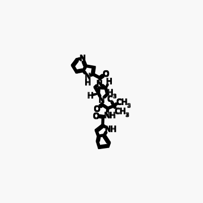 CC(C)(C)C(NC(=O)c1cc2ccccc2[nH]1)C(=O)N1C[C@@H]2C[C@H]1CN2C(=O)c1cc2ncccc2[nH]1